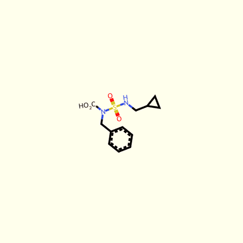 O=C(O)N(Cc1ccccc1)S(=O)(=O)NCC1CC1